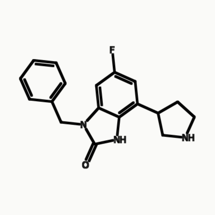 O=c1[nH]c2c(C3CCNC3)cc(F)cc2n1Cc1ccccc1